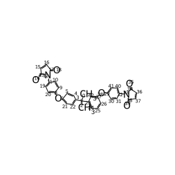 CC(C)(c1ccc(Oc2ccc(N3C(=O)C=CC3=O)cc2)cc1)c1cccc(Oc2ccc(N3C(=O)C=CC3=O)cc2)c1